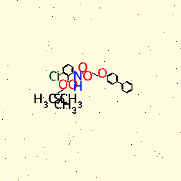 C[Si](C)(C)CCOC(=O)c1c(Cl)cccc1NC(=O)OCCOc1ccc(-c2ccccc2)cc1